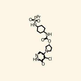 CCCS(=O)(=O)NC1CCC(NC(=O)O[C@@H]2CCN(c3cn[nH]c(=O)c3Cl)C2)CC1